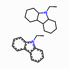 CCN1C2CCCCC2C2CCCCC21.CCn1c2ccccc2c2ccccc21